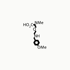 CN[C@H](COCCNCc1ccc(OC)cc1)C(=O)O